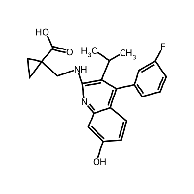 CC(C)c1c(NCC2(C(=O)O)CC2)nc2cc(O)ccc2c1-c1cccc(F)c1